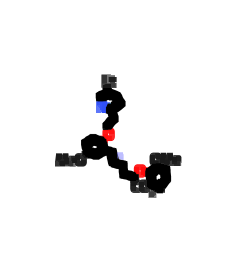 CCc1ccc(CCOc2ccc(OC)cc2/C=C/CCC(Oc2ccccc2OC)C(=O)O)nc1